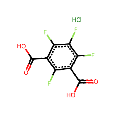 Cl.O=C(O)c1c(F)c(F)c(F)c(C(=O)O)c1F